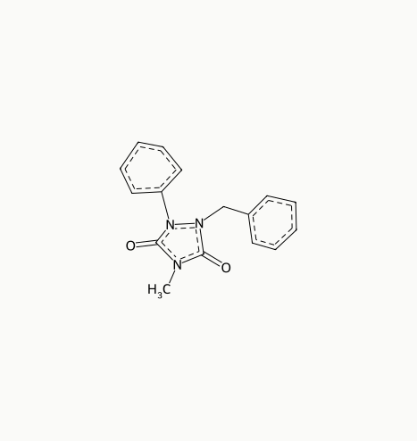 Cn1c(=O)n(Cc2ccccc2)n(-c2ccccc2)c1=O